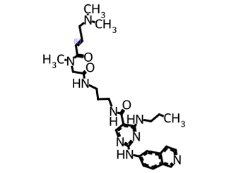 CCCNc1nc(Nc2ccc3cnccc3c2)ncc1C(=O)NCCCNC(=O)CN(C)C(=O)/C=C/CN(C)C